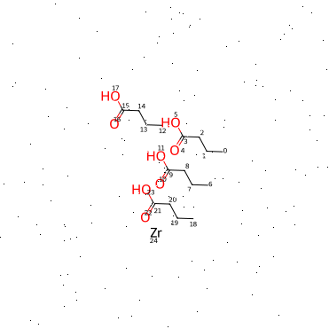 CCCC(=O)O.CCCC(=O)O.CCCC(=O)O.CCCC(=O)O.[Zr]